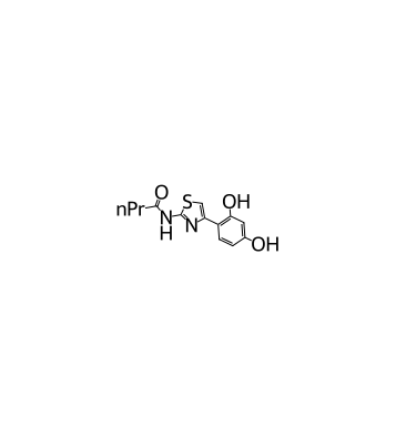 CCCC(=O)Nc1nc(-c2ccc(O)cc2O)cs1